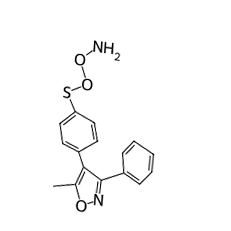 Cc1onc(-c2ccccc2)c1-c1ccc(SOON)cc1